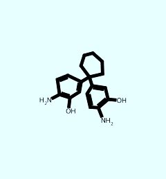 Nc1ccc(C2(c3ccc(N)c(O)c3)CCCCC2)cc1O